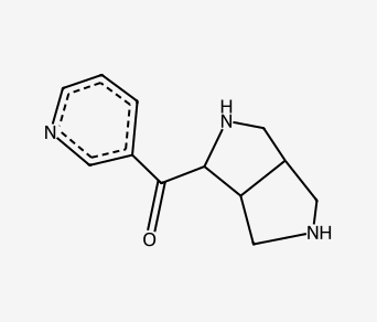 O=C(c1cccnc1)C1NCC2CNCC21